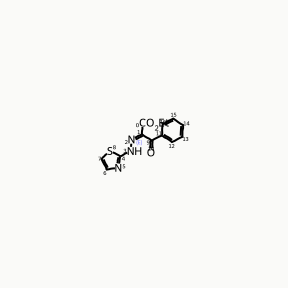 CCOC(=O)/C(=N/Nc1nccs1)C(=O)c1ccccc1